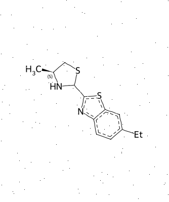 CCc1ccc2nc(C3N[C@@H](C)CS3)sc2c1